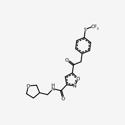 O=C(NCC1CCOC1)c1cc(C(=O)Cc2ccc(SC(F)(F)F)cc2)on1